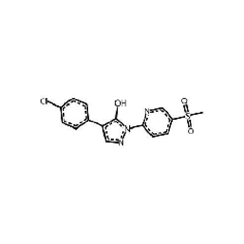 CS(=O)(=O)c1ccc(-n2ncc(-c3ccc(Cl)cc3)c2O)nc1